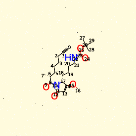 C#CCCCC[C@@H](C)C(=O)N1C(=O)C=C(OC)[C@H]1CCCCNC(=O)OC(C)(C)C